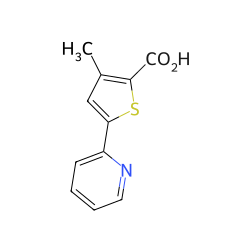 Cc1cc(-c2ccccn2)sc1C(=O)O